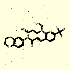 CCN(CCC=N)c1nc(C(F)(F)F)ccc1/C=C/C(=O)Nc1ccc2c(c1)OCCO2